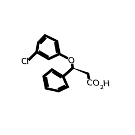 O=C(O)C[C@H](Oc1cccc(Cl)c1)c1ccccc1